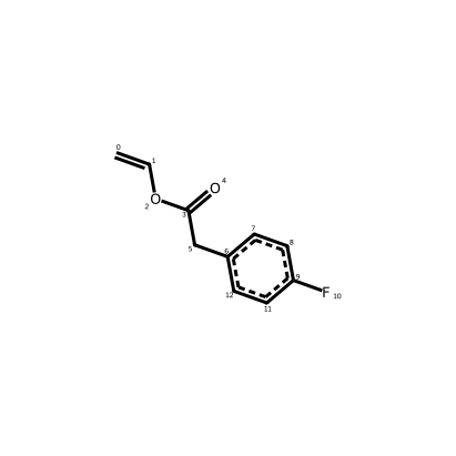 C=COC(=O)Cc1ccc(F)cc1